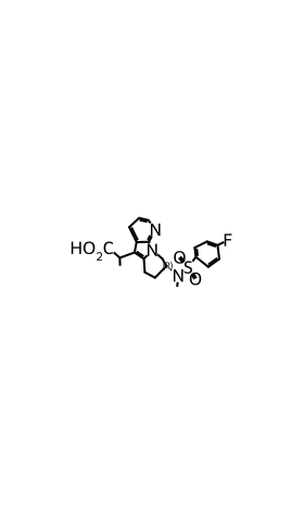 CC(C(=O)O)c1c2n(c3ncccc13)C[C@H](N(C)S(=O)(=O)c1ccc(F)cc1)CC2